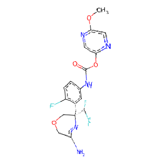 COc1cnc(OC(=O)Nc2ccc(F)c([C@]3(C(F)F)COCC(N)=N3)c2)cn1